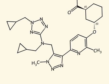 Cc1nc(-c2nnn(C)c2CN(CC2CC2)c2nnn(CC3CC3)n2)ccc1O[C@H]1CCC[C@H](C(=O)O)C1